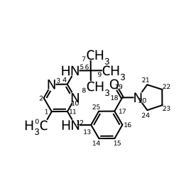 Cc1cnc(NC(C)(C)C)nc1Nc1cccc(C(=O)N2CCCC2)c1